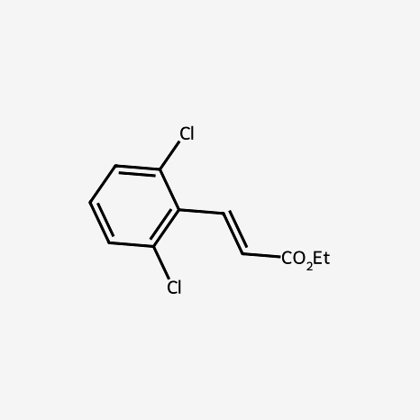 CCOC(=O)C=Cc1c(Cl)cccc1Cl